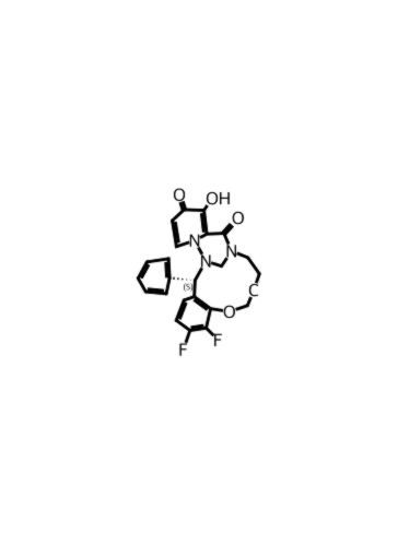 O=C1c2c(O)c(=O)ccn2N2CN1CCCCOc1c(ccc(F)c1F)[C@@H]2c1ccccc1